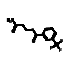 NC(=O)CCCC(=O)c1cccc(C(F)(F)F)c1